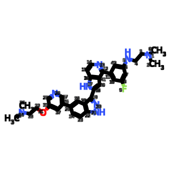 CN(C)CCNc1cc(F)cc(-c2nccc3[nH]c(-c4n[nH]c5ccc(-c6cncc(OCCN(C)C)c6)cc45)cc23)c1